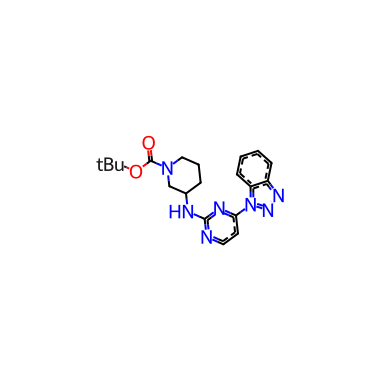 CC(C)(C)OC(=O)N1CCCC(Nc2nccc(-n3nnc4ccccc43)n2)C1